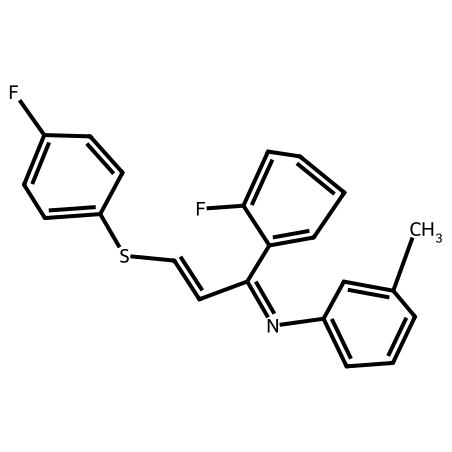 Cc1cccc(N=C(C=CSc2ccc(F)cc2)c2ccccc2F)c1